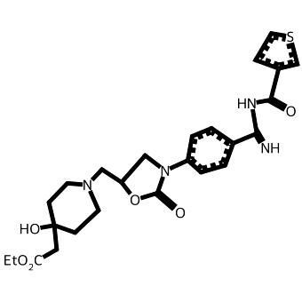 CCOC(=O)CC1(O)CCN(CC2CN(c3ccc(C(=N)NC(=O)c4ccsc4)cc3)C(=O)O2)CC1